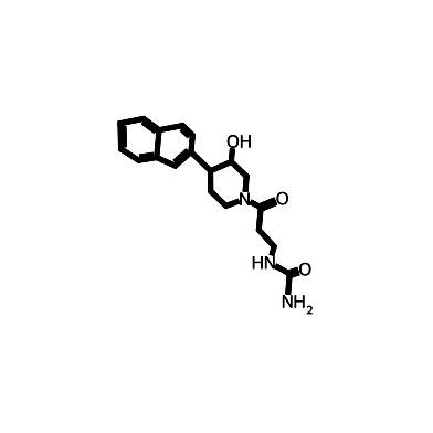 NC(=O)NCCC(=O)N1CCC(c2ccc3ccccc3c2)C(O)C1